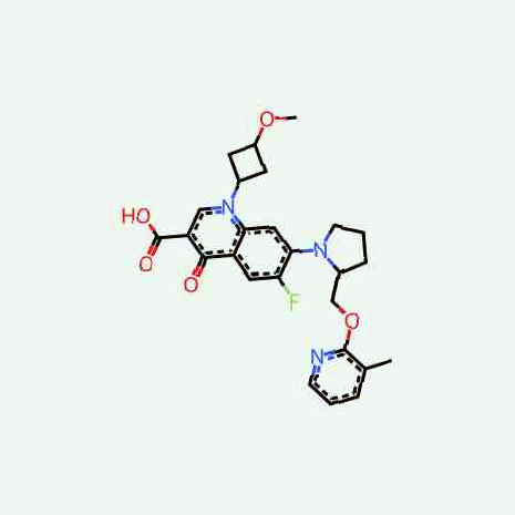 COC1CC(n2cc(C(=O)O)c(=O)c3cc(F)c(N4CCCC4COc4ncccc4C)cc32)C1